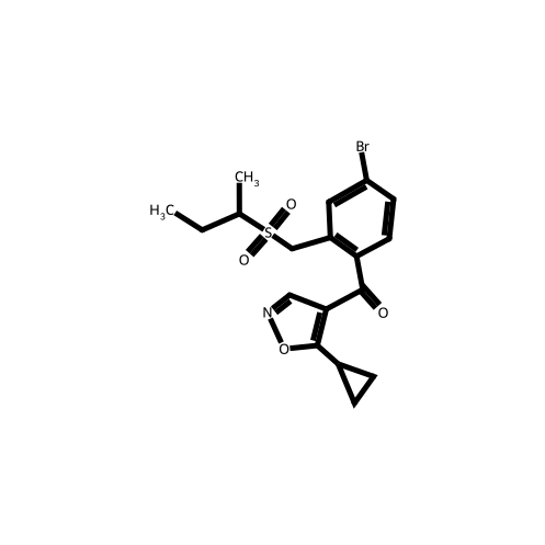 CCC(C)S(=O)(=O)Cc1cc(Br)ccc1C(=O)c1cnoc1C1CC1